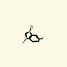 CCn1c[n+]([O-])c2ccc(F)cc21